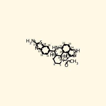 CS(=O)(=O)N1CCC[C@H]2C(c3ccc4nc(N)sc4c3)Nc3ccc4[nH]ncc4c3[C@H]21